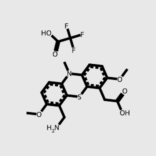 COc1ccc2c(c1CN)Sc1c(ccc(OC)c1CC(=O)O)N2C.O=C(O)C(F)(F)F